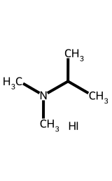 CC(C)N(C)C.I